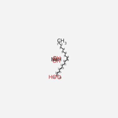 CCCCCCCC/C=C\CCCCCCCC(=O)O.OO.[NaH]